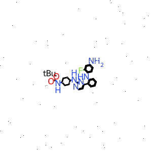 CC(C)(C)OC(=O)NC1CCC(Nc2nccc(-c3ccccc3Nc3ccc(N)cc3F)n2)CC1